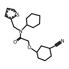 N#CC1CCCC(OCC(=O)N(Cc2cccs2)C2CCCCC2)C1